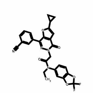 CCN(C(=O)Cn1nc(-c2cccc(C#N)c2)c2oc(C3CC3)cc2c1=O)c1ccc2c(c1)OC(F)(F)O2